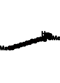 COCCOCCOCCOCCOCCOCCOCCOCCOCCOCCOCCOCCNC(=O)CCC1=C(COC)C(=O)OC1=O